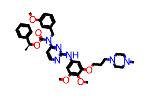 COc1cccc(CN(C(=O)O[C@@H](C)c2ccccc2)c2ccnc(Nc3cc(OC)c(OC)c(OCCCN4CCN(C)CC4)c3)n2)c1